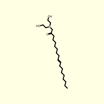 CCCCCCCCC=CCCCCCCCC(=O)CN(CCO)CCO